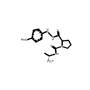 COc1ccc(NNC(=O)C2CCCN2C(=O)N[C@@H](C)C(=O)O)cc1